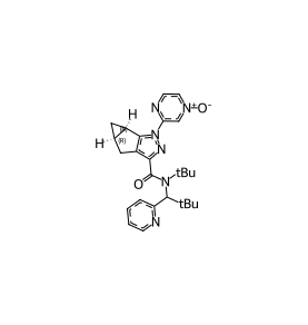 CC(C)(C)C(c1ccccn1)N(C(=O)c1nn(-c2c[n+]([O-])ccn2)c2c1C[C@H]1C[C@@H]21)C(C)(C)C